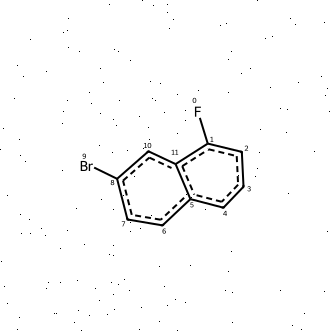 Fc1cccc2ccc(Br)cc12